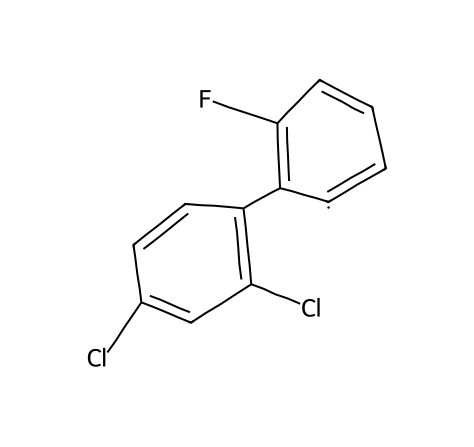 Fc1ccc[c]c1-c1ccc(Cl)cc1Cl